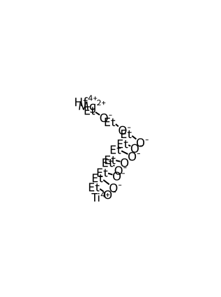 CC[O-].CC[O-].CC[O-].CC[O-].CC[O-].CC[O-].CC[O-].CC[O-].CC[O-].CC[O-].[Hf+4].[Mg+2].[Ti+4]